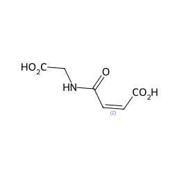 O=C(O)/C=C\C(=O)NCC(=O)O